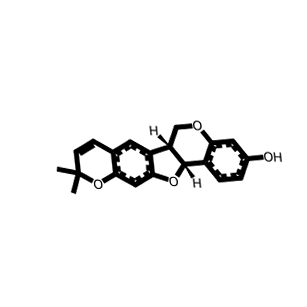 CC1(C)C=Cc2cc3c(cc2O1)O[C@H]1c2ccc(O)cc2OC[C@@H]31